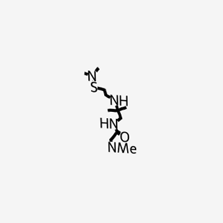 CNCC(=O)NCC(C)(C)NCCSN(C)C